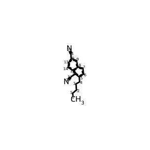 CCCCCc1ccc2cc(C#N)ccc2c1C#N